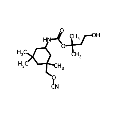 CC1(C)CC(NC(=O)OC(C)(C)CCO)CC(C)(COC#N)C1